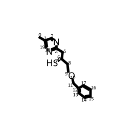 Cc1cnc(C[C@H](S)CCOCc2ccccc2)nc1